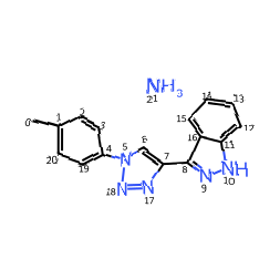 Cc1ccc(-n2cc(-c3n[nH]c4ccccc34)nn2)cc1.N